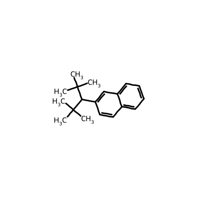 CC(C)(C)C(c1ccc2ccccc2c1)C(C)(C)C